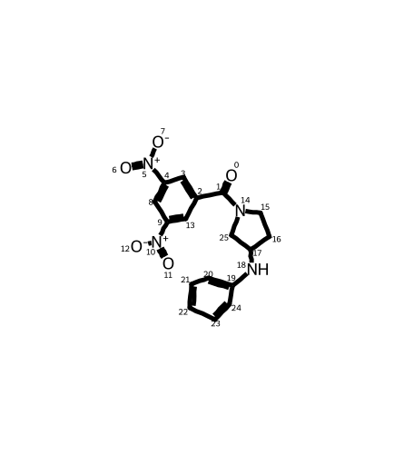 O=C(c1cc([N+](=O)[O-])cc([N+](=O)[O-])c1)N1CCC(Nc2ccccc2)C1